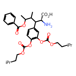 CC(C)CCOC(=O)Oc1ccc(C(C(C)C(C)OC(=O)c2ccccc2)[C@H](N)C(=O)O)cc1OC(=O)OCCC(C)C